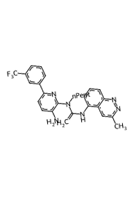 C=C(Nc1cccc2nnc(C)cc12)N(CCCCC)c1nc(-c2cccc(C(F)(F)F)c2)ccc1N